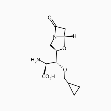 N[C@H](C(=O)O)[C@@H](OCC1CC1)[C@H]1CN2C(=O)C[C@@H]2O1